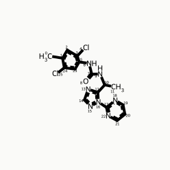 Cc1cc(Cl)c(NC(=O)NC(C)c2ncnn2-c2ncccn2)cc1Cl